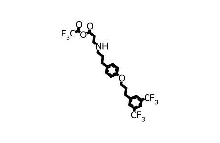 O=C(CCNCCCc1ccc(OCCCc2cc(C(F)(F)F)cc(C(F)(F)F)c2)cc1)OC(=O)C(F)(F)F